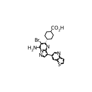 Nc1c(Br)c([C@H]2CC[C@H](C(=O)O)CC2)nc2c(-c3cnc4ccsc4c3)cnn12